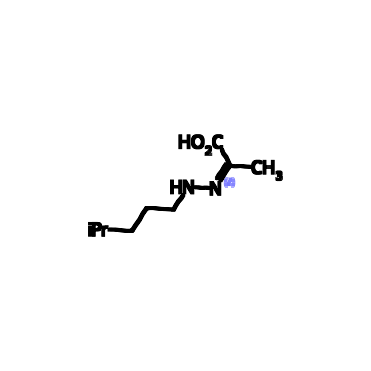 C/C(=N/NCCCC(C)C)C(=O)O